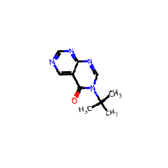 CC(C)(C)n1cnc2ncncc2c1=O